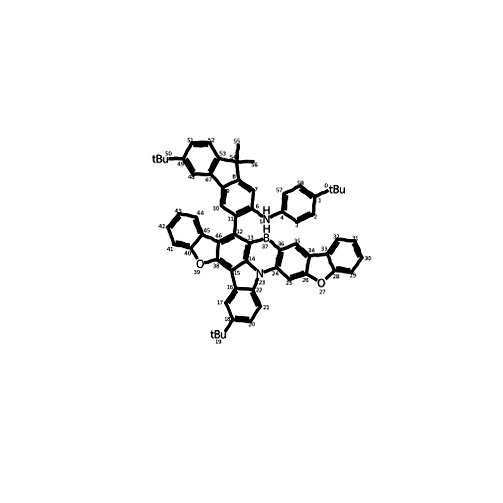 CC(C)(C)c1ccc(Nc2cc3c(cc2-c2c4c5c(c6cc(C(C)(C)C)ccc6n5-c5cc6oc7ccccc7c6cc5B4)c4oc5ccccc5c24)-c2cc(C(C)(C)C)ccc2C3(C)C)cc1